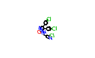 O=c1n(Cc2ccnc(Cl)c2)nc2c(-c3ccc(Cl)cc3)c(-c3ccc(Cl)cc3)cnn12